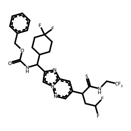 O=C(NC(c1cn2ncc(C(CC(F)F)C(=S)NCC(F)(F)F)cc2n1)C1CCC(F)(F)CC1)OCc1ccccc1